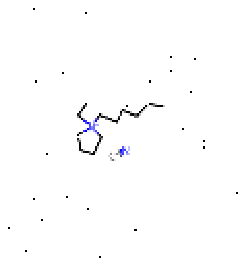 CCCCCC[N+]1(CC)CCCC1.[C-]#N